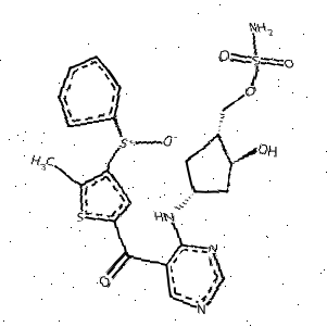 Cc1sc(C(=O)c2cncnc2N[C@@H]2C[C@H](COS(N)(=O)=O)[C@@H](O)C2)cc1[S+]([O-])c1ccccc1